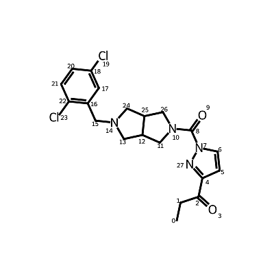 CCC(=O)c1ccn(C(=O)N2CC3CN(Cc4cc(Cl)ccc4Cl)CC3C2)n1